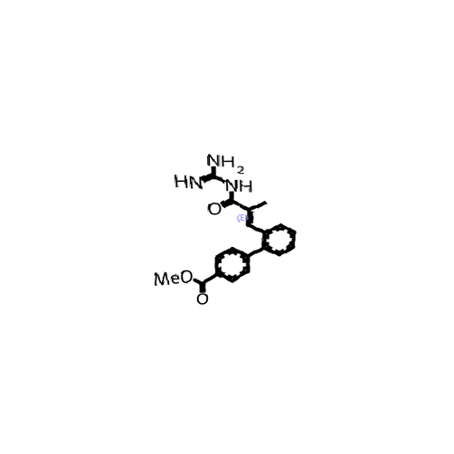 COC(=O)c1ccc(-c2ccccc2/C=C(\C)C(=O)NC(=N)N)cc1